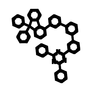 c1ccc(-c2nc(-c3ccccc3)nc(-c3cccc(-c4cccc(-c5cccc(-c6cccc7c6-c6ccccc6C7(c6ccccc6)c6ccccc6)c5)c4)c3)n2)cc1